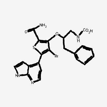 NC(=O)c1sc(-c2ccnc3[nH]ccc23)c(Br)c1OC(CNC(=O)O)Cc1ccccc1